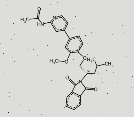 COc1cc(-c2ccnc(NC(C)=O)c2)ccc1OC[C@H](CC(C)C)N1C(=O)c2ccccc2C1=O